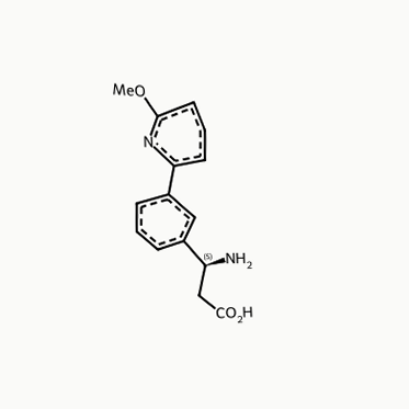 COc1cccc(-c2cccc([C@@H](N)CC(=O)O)c2)n1